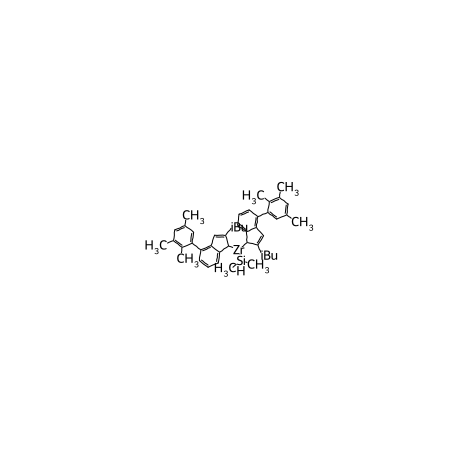 CCC(C)C1=Cc2c(-c3cc(C)cc(C)c3C)cccc2[CH]1[Zr]([CH]1C(C(C)CC)=Cc2c(-c3cc(C)cc(C)c3C)cccc21)[SiH](C)C